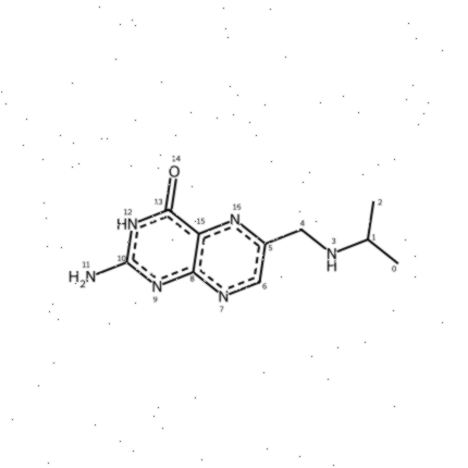 CC(C)NCc1cnc2nc(N)[nH]c(=O)c2n1